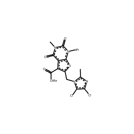 COC(=O)c1c(Cn2c(C)nc(Cl)c2Cl)sc2c1c(=O)n(C)c(=O)n2C(C)C